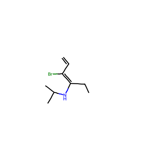 C=C/C(Br)=C(\CC)NC(C)C